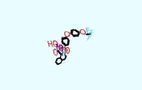 O=C(NO)C1C2CCCCC2CCN1S(=O)(=O)c1ccc(Oc2ccc(OCC(F)(F)F)cc2)cc1